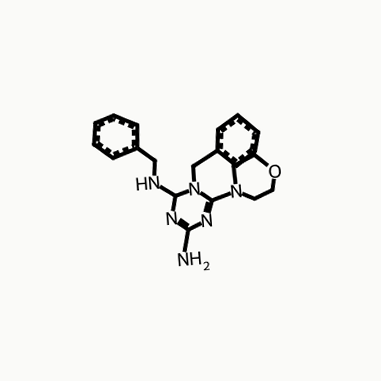 NC1=NC(NCc2ccccc2)N(Cc2ccccc2)C(N2CCOCC2)=N1